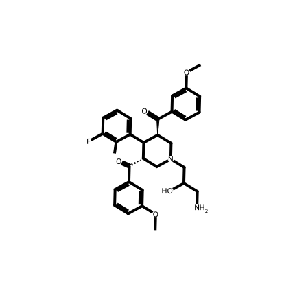 COc1cccc(C(=O)[C@H]2CN(CC(O)CN)C[C@H](C(=O)c3cccc(OC)c3)C2c2cccc(F)c2C)c1